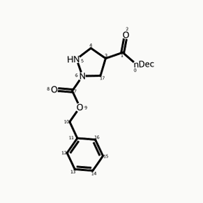 CCCCCCCCCCC(=O)C1CNN(C(=O)OCc2ccccc2)C1